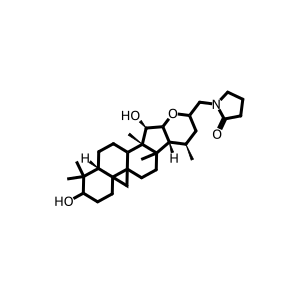 C[C@@H]1CC(CN2CCCC2=O)OC2[C@H]1C1(C)CCC34CC35CCC(O)C(C)(C)[C@@H]5CCC4[C@]1(C)[C@H]2O